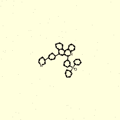 O=P(c1ccccc1)(c1ccccc1)c1cccc(-c2nc3ccccc3c3c2cc(-c2ccc(-c4cccnc4)cc2)c2ccccc23)c1